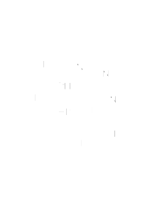 FN1N[PH](F)(F)P[PH](F)(F)N1